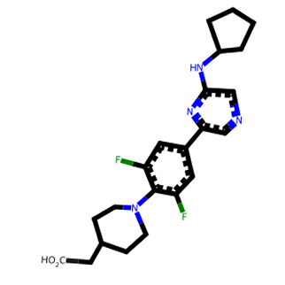 O=C(O)CC1CCN(c2c(F)cc(-c3cncc(NC4CCCC4)n3)cc2F)CC1